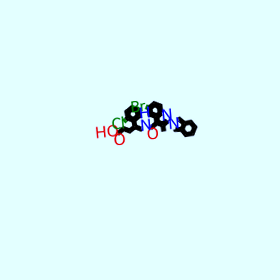 Cc1c(N2CC3CCCCC3C2)nc2ccc(Br)cc2c1C(=O)NCC(CCC(=O)O)c1ccccc1Cl